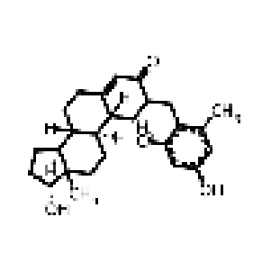 Cc1cc(O)cc(C)c1CC1C[C@H]2C(=CC1=O)CC[C@@H]1[C@@H]2CC[C@]2(C)[C@H](O)CC[C@@H]12